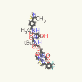 Cc1ncsc1-c1ccc([C@H](C)NC(=O)[C@@H]2C=C(O)CN2C(=O)[C@@H](NC(=O)COCCCNC(=O)COc2c(-c3csc(N4CCOCC4)n3)ccc(F)c2F)C(C)(C)C)cc1